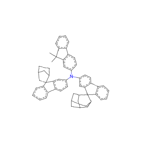 CC1(C)c2ccccc2-c2ccc(N(c3ccc4c(c3)C3(CC5CCC3C5)c3ccccc3-4)c3ccc4c(c3)C3(c5ccccc5-4)C4CC5CC(C4)CC3C5)cc21